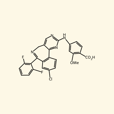 COc1cc(Nc2ncc3c(n2)-c2ccc(Cl)cc2C(c2c(F)cccc2F)=NC3)ccc1C(=O)O